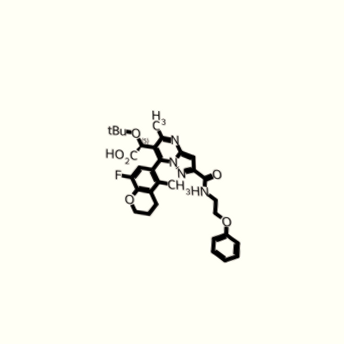 Cc1nc2cc(C(=O)NCCOc3ccccc3)nn2c(-c2cc(F)c3c(c2C)CCCO3)c1[C@H](OC(C)(C)C)C(=O)O